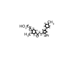 Cc1ccc(-c2cc(C(C)C)c(CCC(=O)c3ccc(OCC(=O)O)c(C)c3)s2)cc1